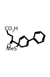 CSC1(C(=O)CCC(=O)O)C=CC(c2ccccc2)=CC1